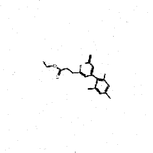 C=C(C)/C=C(\C=C(/F)CCC(=O)OCC)c1c(C)cc(C)cc1C